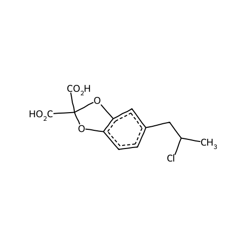 CC(Cl)Cc1ccc2c(c1)OC(C(=O)O)(C(=O)O)O2